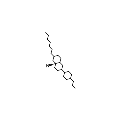 CCCCCCCC1CCC2CC(C3CCC(CCC)CC3)CCC2(C#N)C1